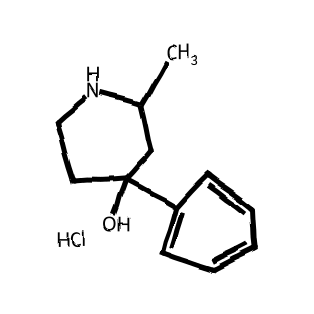 CC1CC(O)(c2ccccc2)CCN1.Cl